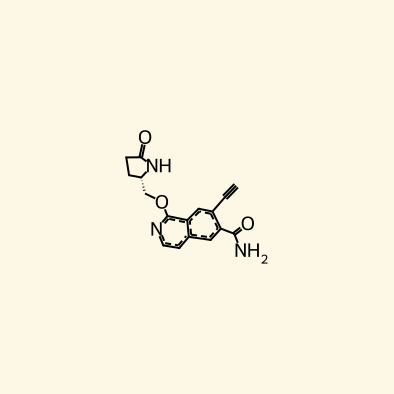 C#Cc1cc2c(OC[C@@H]3CCC(=O)N3)nccc2cc1C(N)=O